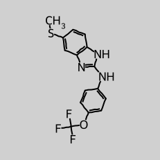 CSc1ccc2[nH]c(Nc3ccc(OC(F)(F)F)cc3)nc2c1